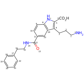 NCCCc1c(C(=O)O)[nH]c2ccc(C(=O)NCCc3ccccc3)cc12